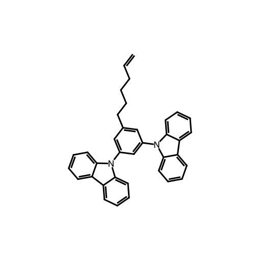 C=CCCCCc1cc(-n2c3ccccc3c3ccccc32)cc(-n2c3ccccc3c3ccccc32)c1